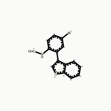 O=CNc1ccc(Br)cc1-c1coc2ccccc12